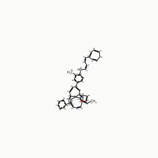 C/C=C\C=C1\C=C(c2ccc(N/C=C\C=C/C3=CC=CCC=C3)c(C)c2)C=C/C(=C/S)C12C/C(c1ccccc1)=C\C=C/C1=C2CC=C1